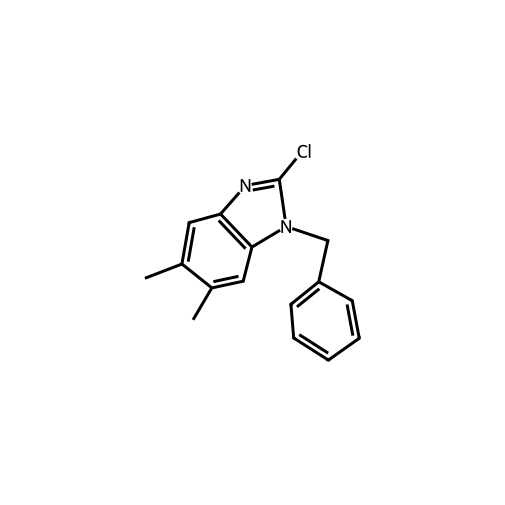 Cc1cc2nc(Cl)n(Cc3ccccc3)c2cc1C